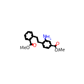 COC(=O)c1ccc(CCc2ccccc2C(=O)OC)c(N)c1